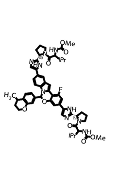 COC(=O)NC(C(=O)N1CCC[C@H]1c1ncc(-c2cc(F)c3c(c2)OC(c2ccc4c(c2)OCCC4C)n2c-3cc3cc(-c4cnc([C@@H]5CCCN5C(=O)C(NC(=O)OC)C(C)C)[nH]4)ccc32)[nH]1)C(C)C